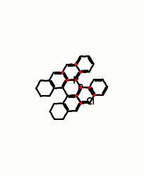 Clc1cc2c(c(-c3c(P(c4ccccc4)c4ccccc4)ccc4c3CCCC4)c1P(c1ccccc1)c1ccccc1)CCCC2